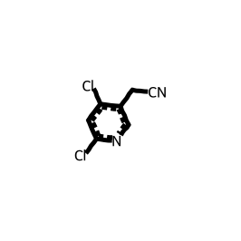 N#CCc1cnc(Cl)cc1Cl